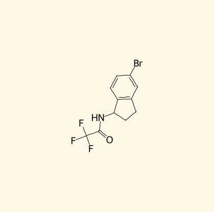 O=C(NC1CCc2cc(Br)ccc21)C(F)(F)F